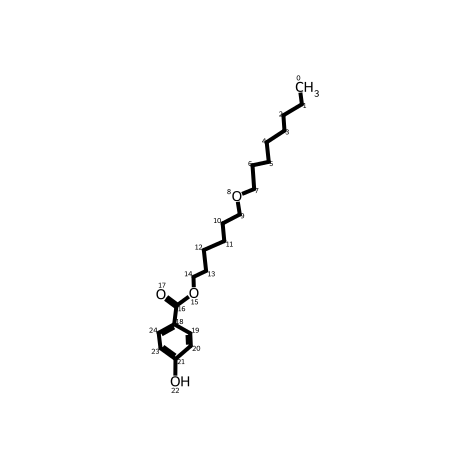 CCCCCCCCOCCCCCCOC(=O)c1ccc(O)cc1